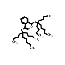 CCCCCC(CCCC)(CCCC)OC(=O)c1ccccc1C(=O)OC(CCCC)(CCCC)CCCCC